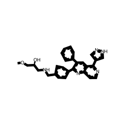 COC[C@@H](O)CNCc1ccc(-c2nc3ccnc(-c4cn[nH]c4)c3cc2-c2ccccc2)cc1